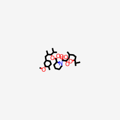 COC1CC(CC(C)C(OC(=O)C2CCCCN2C(=O)C(=O)C2(O)OC(C(C)C)CCC2C)C(C)C)CCC1C